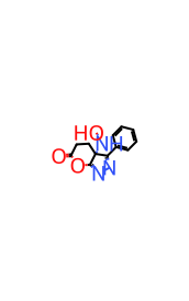 O=C1CCC2(NO)C(=NN=C2c2ccccc2)O1